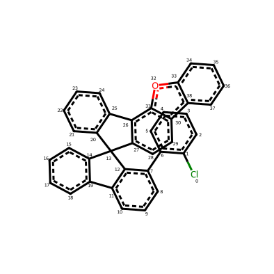 Clc1ccccc1-c1cccc2c1C1(c3ccccc3-2)c2ccccc2-c2c1ccc1c2oc2ccccc21